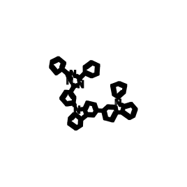 c1ccc(C2=NC(c3cccc(-n4c5ccccc5c5cc(-c6ccc7c8ccccc8n(-c8ccccc8)c7c6)ccc54)c3)N3C(c4ccccc4)N23)cc1